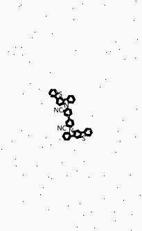 N#Cc1cc(-c2ccc(-n3c4ccccc4c4c5sc6ccccc6c5ccc43)c(C#N)c2)ccc1-n1c2ccccc2c2cc3sc4ccccc4c3cc21